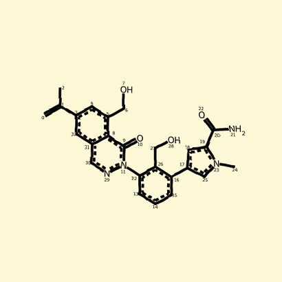 C=C(C)c1cc(CO)c2c(=O)n(-c3cccc(-c4cc(C(N)=O)n(C)c4)c3CO)ncc2c1